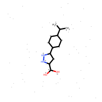 CC(C)C1CCC(C2CC(C(O)O)NN2)CC1